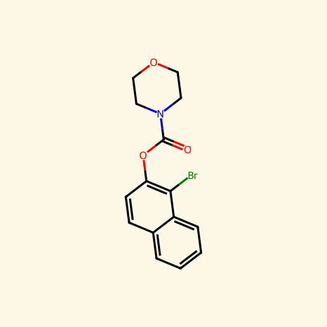 O=C(Oc1ccc2ccccc2c1Br)N1CCOCC1